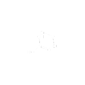 CCOCC.O=[Si](O)O